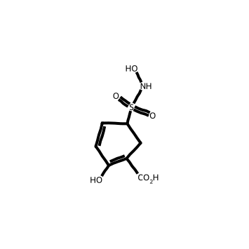 O=C(O)C1=C(O)C=CC(S(=O)(=O)NO)C1